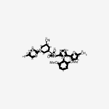 COc1cccc(OC)c1-n1c(NS(=O)(=O)[C@@H]2C[C@H](C#N)CN(c3ncc(F)cn3)C2)nnc1-c1ccc(C)o1